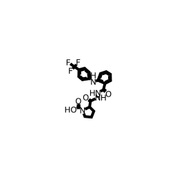 O=C(NNC(=O)C1CCCN1C(=O)O)c1ccccc1Nc1ccc(C(F)(F)F)cc1